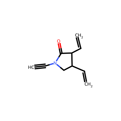 C#CN1CC(C=C)C(C=C)C1=O